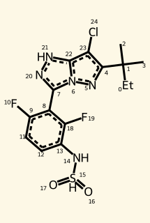 CCC(C)(C)c1nn2c(-c3c(F)ccc(N[SH](=O)=O)c3F)n[nH]c2c1Cl